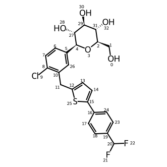 OC[C@H]1O[C@@H](c2ccc(Cl)c(Cc3ccc(-c4ccc(C(F)F)cc4)s3)c2)[C@H](O)[C@@H](O)[C@@H]1O